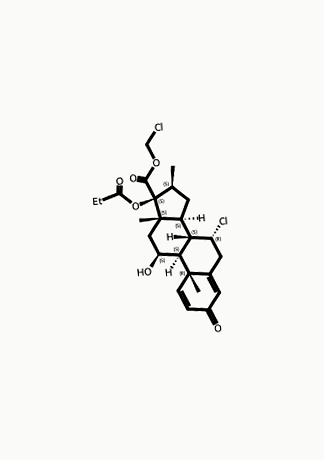 CCC(=O)O[C@@]1(C(=O)OCCl)[C@@H](C)C[C@H]2[C@H]3[C@H]([C@@H](O)C[C@@]21C)[C@@]1(C)C=CC(=O)C=C1C[C@H]3Cl